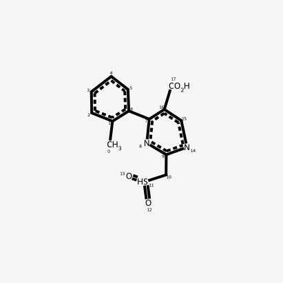 Cc1ccccc1-c1nc(C[SH](=O)=O)ncc1C(=O)O